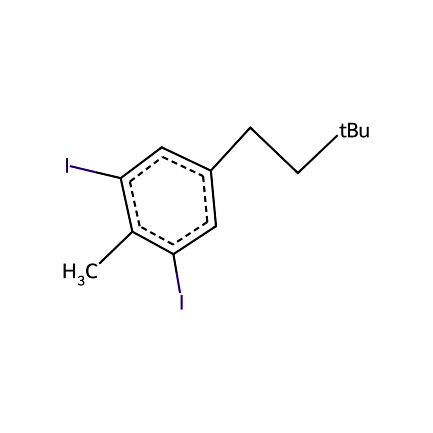 Cc1c(I)cc(CCC(C)(C)C)cc1I